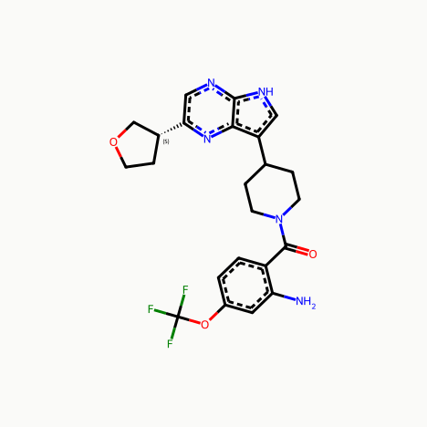 Nc1cc(OC(F)(F)F)ccc1C(=O)N1CCC(c2c[nH]c3ncc([C@@H]4CCOC4)nc23)CC1